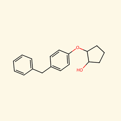 OC1CCCC1Oc1ccc(Cc2ccccc2)cc1